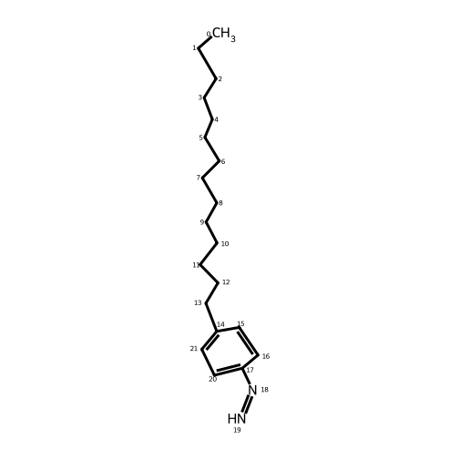 CCCCCCCCCCCCCCc1ccc(N=N)cc1